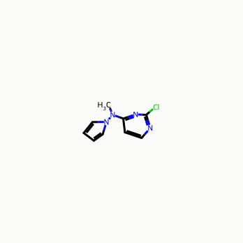 CN(c1ccnc(Cl)n1)n1cccc1